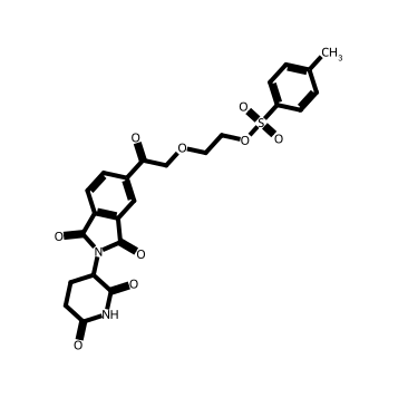 Cc1ccc(S(=O)(=O)OCCOCC(=O)c2ccc3c(c2)C(=O)N(C2CCC(=O)NC2=O)C3=O)cc1